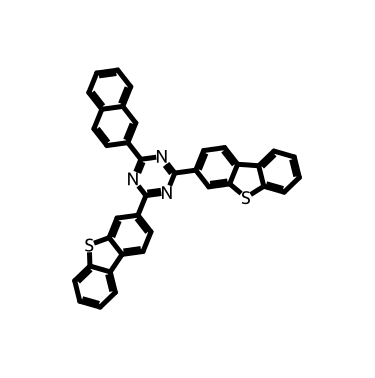 c1ccc2cc(-c3nc(-c4ccc5c(c4)sc4ccccc45)nc(-c4ccc5c(c4)sc4ccccc45)n3)ccc2c1